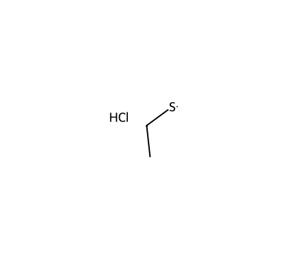 CC[S].Cl